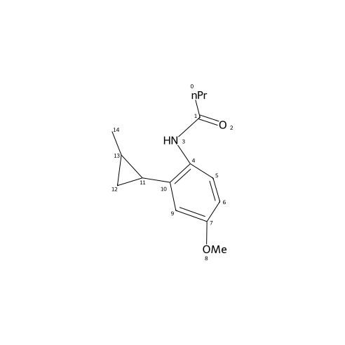 CCCC(=O)Nc1ccc(OC)cc1C1CC1C